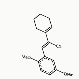 COc1ccc(OC)c(/C=C(\C#N)C2=CCCCC2)c1